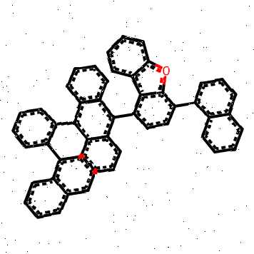 c1ccc(-c2c3ccccc3c(-c3ccc(-c4cccc5ccccc45)c4oc5ccccc5c34)c3ccccc23)c(-c2cccc3ccccc23)c1